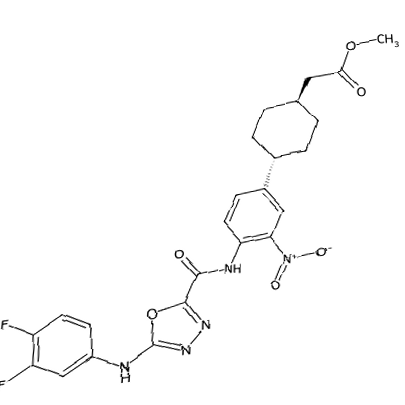 COC(=O)C[C@H]1CC[C@H](c2ccc(NC(=O)c3nnc(Nc4ccc(F)c(F)c4)o3)c([N+](=O)[O-])c2)CC1